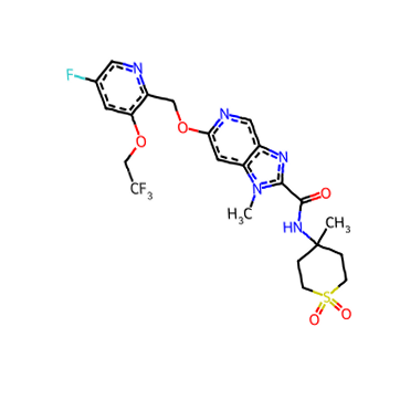 Cn1c(C(=O)NC2(C)CCS(=O)(=O)CC2)nc2cnc(OCc3ncc(F)cc3OCC(F)(F)F)cc21